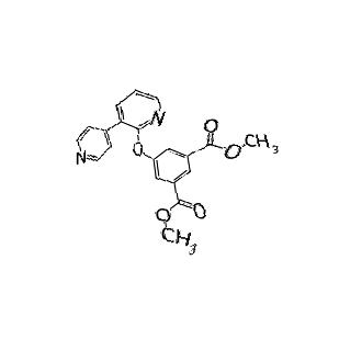 COC(=O)c1cc(Oc2ncccc2-c2ccncc2)cc(C(=O)OC)c1